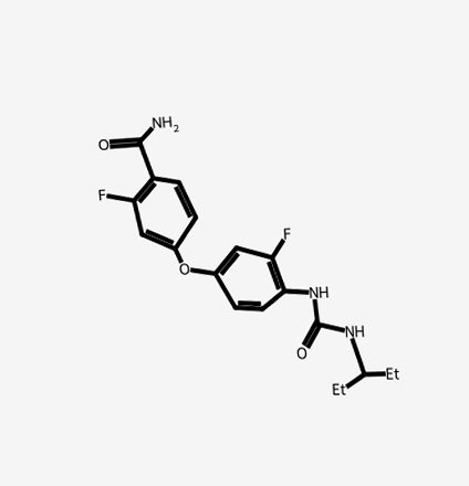 CCC(CC)NC(=O)Nc1ccc(Oc2ccc(C(N)=O)c(F)c2)cc1F